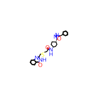 O=C(CCSCc1nc2ccccc2c(=O)[nH]1)N[C@H]1CC[C@H](c2nnc(-c3ccccc3)o2)CC1